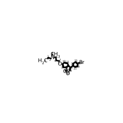 C=CCN(C)CCCOc1ccc2c(c1)S(=O)(=O)C=C2c1ccc(Br)cc1